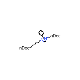 CCCCCCCCCCCCCCCCn1cc[n+](CCCCCCCCCCCC)c1-c1ccccc1